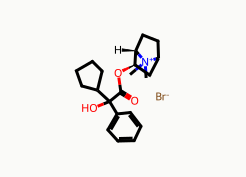 C[N+]1(C)C2CC[C@H]1[C@H](OC(=O)C(O)(c1ccccc1)C1CCCC1)C2.[Br-]